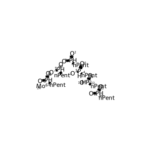 CCCCC[PH](=O)[O-].CCCCC[PH](=O)[O-].CCCCC[PH](=O)[O-].CCCCC[PH](=O)[O-].CCCCC[PH](=O)[O-].CCCCC[PH](=O)[O-].[Mo+6]